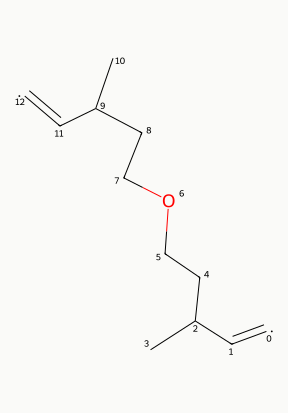 [CH]=CC(C)CCOCCC(C)C=[CH]